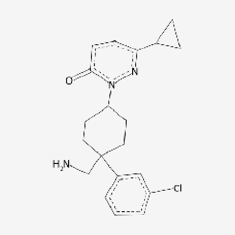 NCC1(c2cccc(Cl)c2)CCC(n2nc(C3CC3)ccc2=O)CC1